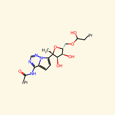 CCCC(=O)Nc1ncnn2c([C@]3(C)O[C@H](COC(O)CC(C)C)[C@@H](O)[C@H]3O)ccc12